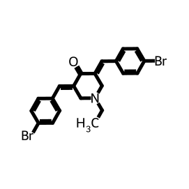 CCN1C/C(=C\c2ccc(Br)cc2)C(=O)/C(=C/c2ccc(Br)cc2)C1